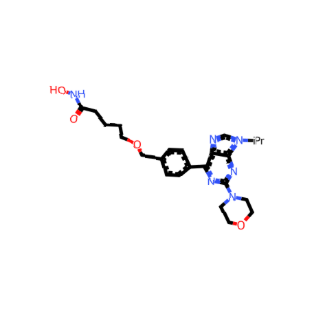 CC(C)n1cnc2c(-c3ccc(COCCCCC(=O)NO)cc3)nc(N3CCOCC3)nc21